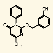 Cc1cc(=O)n(-c2ccccc2)c(OCc2cccc(C#N)c2)n1